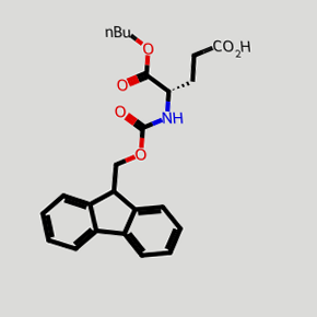 CCCCOC(=O)[C@H](CCC(=O)O)NC(=O)OCC1c2ccccc2-c2ccccc21